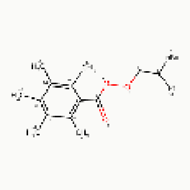 CCCCC([CH]OOC(=O)c1c(C)c(C)c(C)c(C)c1C)CC